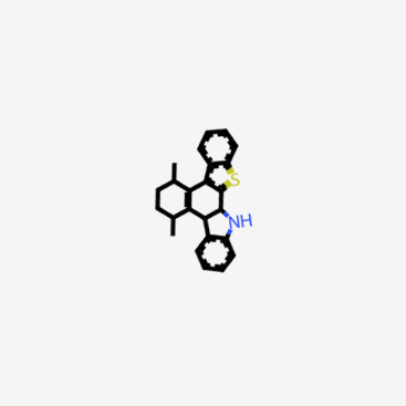 CC1CCC(C)C2=C1c1c(sc3ccccc13)C1Nc3ccccc3C21